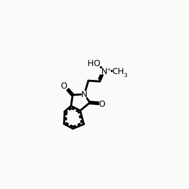 C[N+](O)=CCN1C(=O)c2ccccc2C1=O